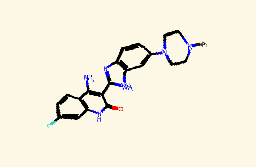 CC(C)N1CCN(c2ccc3nc(-c4c(N)c5ccc(F)cc5[nH]c4=O)[nH]c3c2)CC1